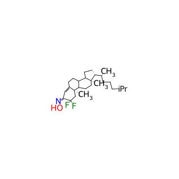 CC(C)CCC[C@@H](C)[C@H]1CCC2C3CCC4=C/C(=N/O)C(F)(F)C[C@]4(C)C3CC[C@@]21C